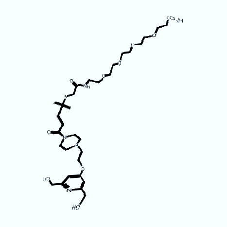 CC(C)(CCC(=O)N1CCN(CCOc2cc(CO)nc(CO)c2)CC1)SCC(=O)NCCOCCOCCOCCOCCC(=O)O